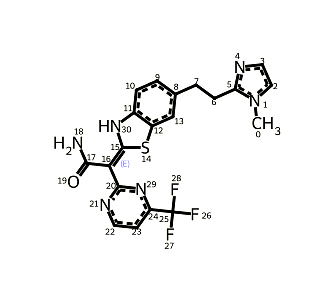 Cn1ccnc1CCc1ccc2c(c1)S/C(=C(/C(N)=O)c1nccc(C(F)(F)F)n1)N2